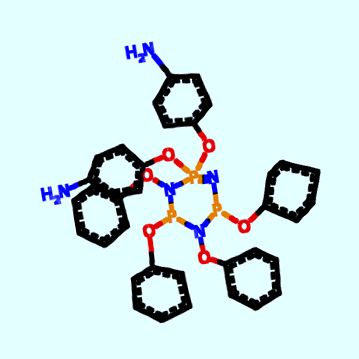 Nc1ccc(OP2(Oc3ccc(N)cc3)=NP(Oc3ccccc3)N(Oc3ccccc3)P(Oc3ccccc3)N2Oc2ccccc2)cc1